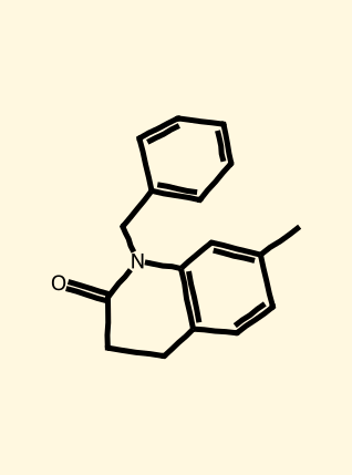 Cc1ccc2c(c1)N(Cc1ccccc1)C(=O)CC2